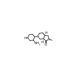 CN1C[C@@H]2CCN(C3CCNCC3N)C[C@@H]2C1=O